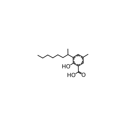 CCCCCCC(C)c1cc(C)cc(C(=O)O)c1O